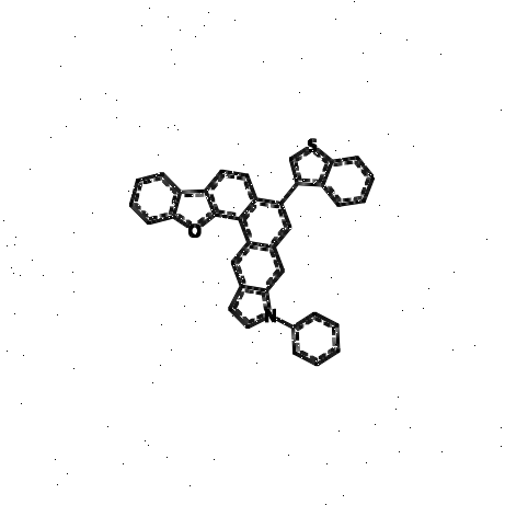 c1ccc(-n2ccc3cc4c(cc(-c5csc6ccccc56)c5ccc6c7ccccc7oc6c54)cc32)cc1